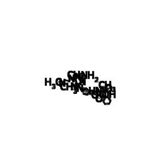 C[C@H](NP(=O)(OC[C@@H]1C=C[C@H](n2cnc3c(N(C)CCN(C)C)nc(N)nc32)C1)Oc1ccccc1)C(=O)O